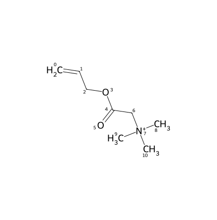 C=CCOC(=O)C[N+](C)(C)C